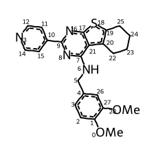 COc1ccc(CNc2nc(-c3ccncc3)nc3sc4c(c23)CCCC4)cc1OC